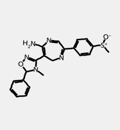 CN1C(C2=C(N)N=CC(c3ccc([S+](C)[O-])cc3)=NC2)=NOC1c1ccccc1